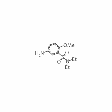 CCN(CC)S(=O)(=O)c1cc(N)ccc1OC